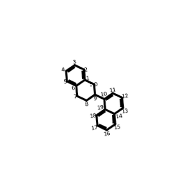 [C]1c2ccccc2CCC1c1cccc2ccccc12